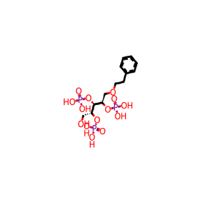 O=P(O)(O)O[C@H]([C@@H](CO)OP(=O)(O)O)[C@@H](COCCc1ccccc1)OP(=O)(O)O